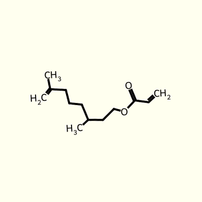 C=CC(=O)OCCC(C)CCCC(=C)C